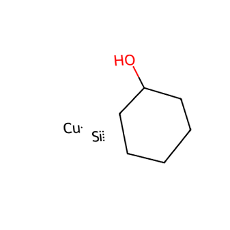 OC1CCCCC1.[Cu].[Si]